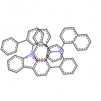 c1ccc(-c2cccc(-c3ccccc3)c2-n2c3ccccc3c3ccc(-c4ccccc4N(c4cccc5ccccc45)c4cccc5ccccc45)cc32)cc1